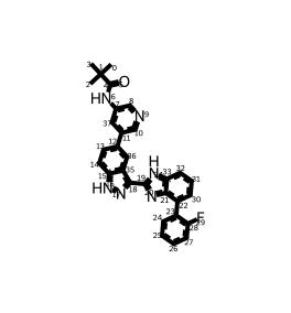 CC(C)(C)C(=O)Nc1cncc(-c2ccc3[nH]nc(-c4nc5c(-c6ccccc6F)cccc5[nH]4)c3c2)c1